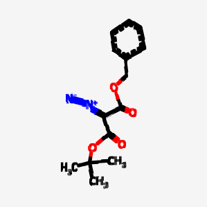 CC(C)(C)OC(=O)C(=[N+]=[N-])C(=O)OCc1ccccc1